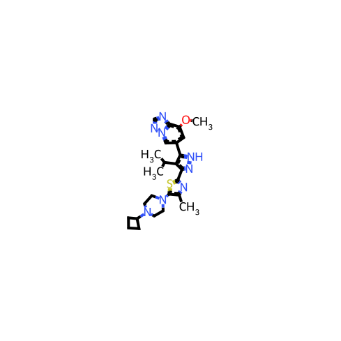 COc1cc(-c2[nH]nc(-c3nc(C)c(N4CCN(C5CCC5)CC4)s3)c2C(C)C)cn2ncnc12